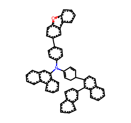 C1=CC(c2ccc3ccccc3c2-c2ccc3ccccc3c2)CC=C1N(c1ccc(-c2ccc3oc4ccccc4c3c2)cc1)c1cc2ccccc2c2ccccc12